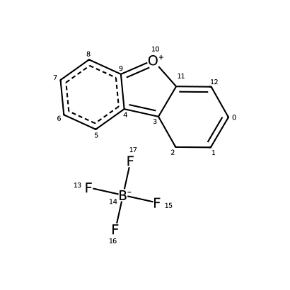 C1=CCC2=c3ccccc3=[O+]C2=C1.F[B-](F)(F)F